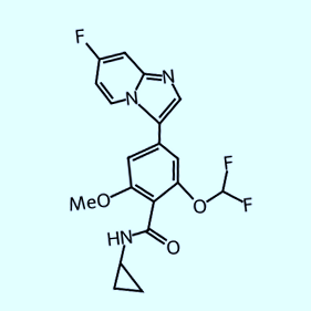 COc1cc(-c2cnc3cc(F)ccn23)cc(OC(F)F)c1C(=O)NC1CC1